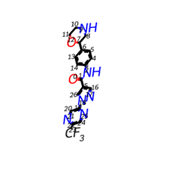 O=C(Nc1ccc(C2CNCCO2)cc1)c1cnn(-c2cnc(C(F)(F)F)cn2)c1